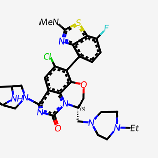 CCN1CCN(C[C@H]2COc3c(-c4ccc(F)c5sc(NC)nc45)c(Cl)cc4c(N5CC6CCC(C5)N6)nc(=O)n2c34)CC1